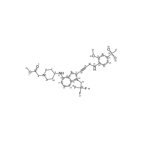 COC(=O)CN1CCC(Nc2cccc3c2cc(C#CCNc2ccc(S(C)(=O)=O)cc2OC)n3CC(F)(F)F)CC1